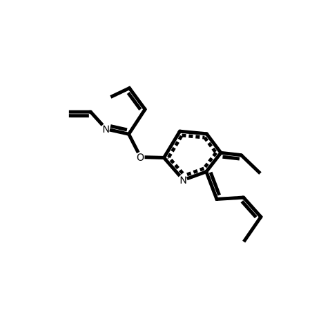 C=C/N=C(\C=C/C)Oc1ccc(=C/C)/c(=C\C=C/C)n1